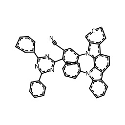 N#Cc1cc(-n2c3ccccc3c3ccc4c5ccccc5n(-c5ccccc5)c4c32)ccc1-c1nc(-c2ccccc2)nc(-c2ccccc2)n1